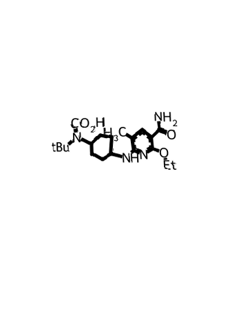 CCOc1nc(NC2CCC(N(C(=O)O)C(C)(C)C)CC2)c(C)cc1C(N)=O